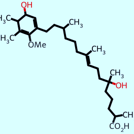 COC1=C(C)C(C)C(O)C=C1CCC(C)CCC/C(C)=C/CCC(C)(O)CCCC(C)C(=O)O